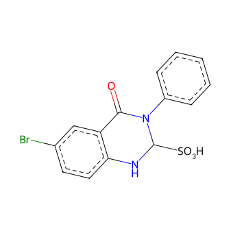 O=C1c2cc(Br)ccc2NC(S(=O)(=O)O)N1c1ccccc1